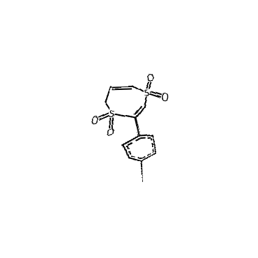 O=S1(=O)C=CCS(=O)(=O)C(c2ccc(I)cc2)=C1